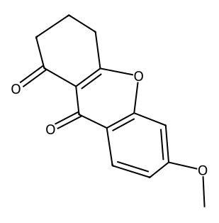 COc1ccc2c(=O)c3c(oc2c1)CCCC3=O